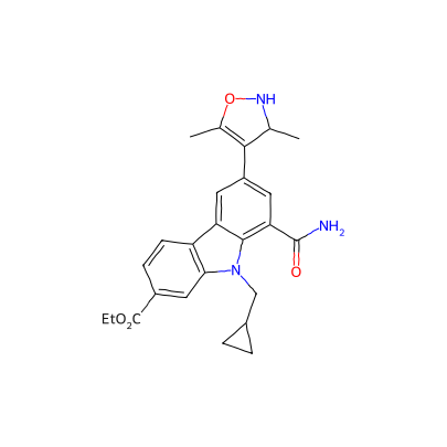 CCOC(=O)c1ccc2c3cc(C4=C(C)ONC4C)cc(C(N)=O)c3n(CC3CC3)c2c1